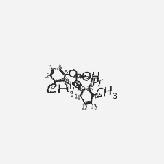 Cc1cccc(OP(O)Oc2cccc(C)c2C(C)C)c1C(C)C